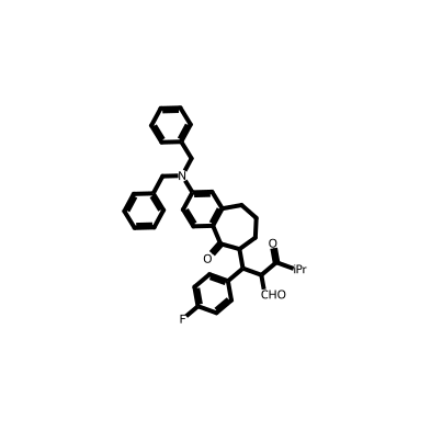 CC(C)C(=O)C(C=O)C(c1ccc(F)cc1)C1CCCc2cc(N(Cc3ccccc3)Cc3ccccc3)ccc2C1=O